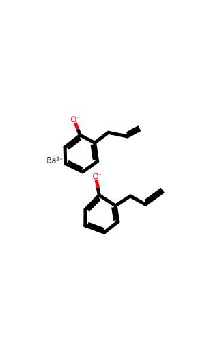 C=CCc1ccccc1[O-].C=CCc1ccccc1[O-].[Ba+2]